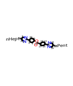 CCCCCCCc1cnc(-c2ccc(OC(=O)c3ccc(-c4ncc(CCCCC)cn4)cc3)cc2)nc1